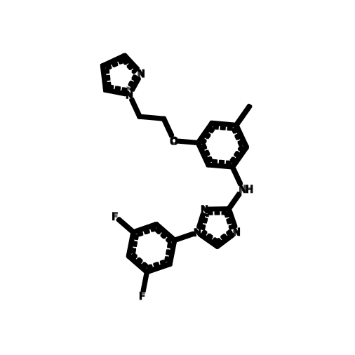 Cc1cc(Nc2ncn(-c3cc(F)cc(F)c3)n2)cc(OCCn2cccn2)c1